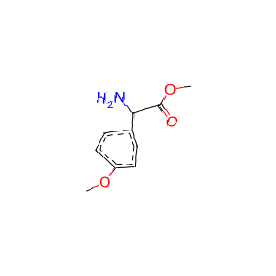 COC(=O)C(N)c1ccc(OC)cc1